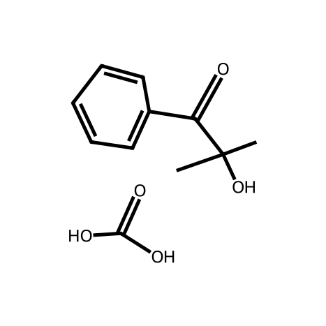 CC(C)(O)C(=O)c1ccccc1.O=C(O)O